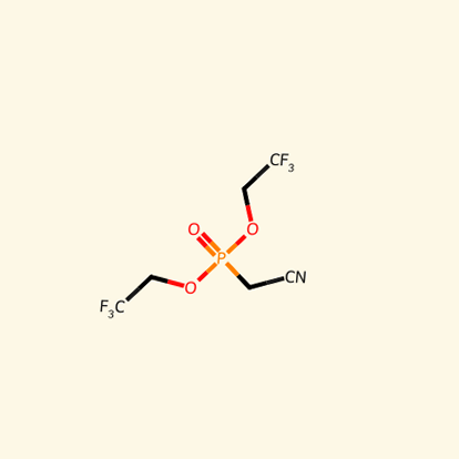 N#CCP(=O)(OCC(F)(F)F)OCC(F)(F)F